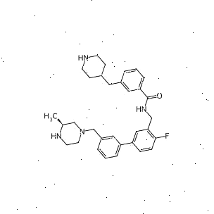 C[C@H]1CN(Cc2cccc(-c3ccc(F)c(CNC(=O)c4cccc(CC5CCNCC5)c4)c3)c2)CCN1